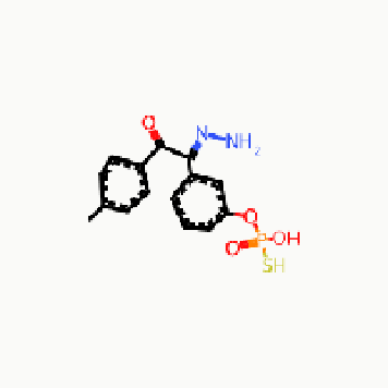 Cc1ccc(C(=O)/C(=N/N)c2cccc(OP(=O)(O)S)c2)cc1